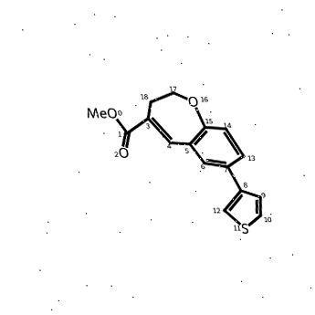 COC(=O)C1=Cc2cc(-c3ccsc3)ccc2OCC1